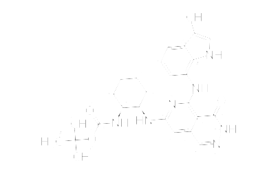 Cc1c[nH]c2c(Nc3nc(N[C@@H]4CCCC[C@@H]4NC(=O)OC(C)(C)C)cc4cn[nH]c(=O)c34)cccc12